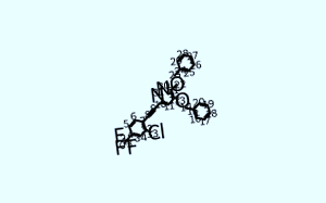 FC(F)(F)c1ccc(C#Cc2cc(OCc3ccccc3)c(OCc3ccccc3)nn2)c(Cl)c1